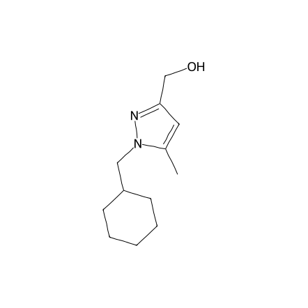 Cc1cc(CO)nn1CC1CCCCC1